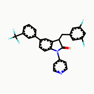 O=C1C(Cc2cc(F)cc(F)c2)c2cc(-c3cccc(C(F)(F)F)c3)ccc2N1c1ccncc1